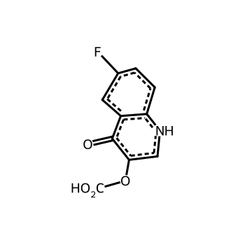 O=C(O)Oc1c[nH]c2ccc(F)cc2c1=O